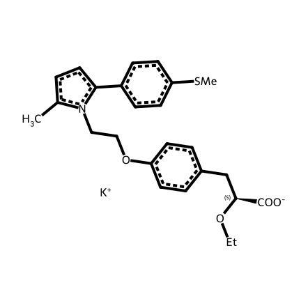 CCO[C@@H](Cc1ccc(OCCn2c(C)ccc2-c2ccc(SC)cc2)cc1)C(=O)[O-].[K+]